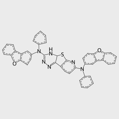 c1ccc(N(C2=NN=C3c4ccc(N(c5ccccc5)c5ccc6oc7ccccc7c6c5)nc4SC3N2)c2ccc3oc4ccccc4c3c2)cc1